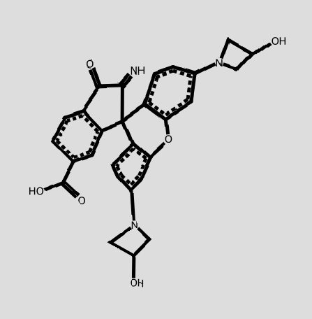 N=C1C(=O)c2ccc(C(=O)O)cc2C12c1ccc(N3CC(O)C3)cc1Oc1cc(N3CC(O)C3)ccc12